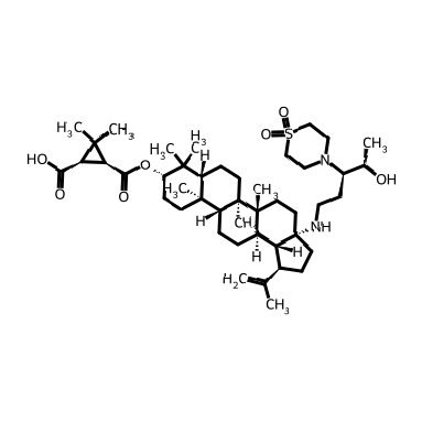 C=C(C)[C@@H]1CC[C@]2(NCC[C@H]([C@@H](C)O)N3CCS(=O)(=O)CC3)CC[C@]3(C)[C@H](CC[C@@H]4[C@@]5(C)CC[C@H](OC(=O)[C@H]6[C@@H](C(=O)O)C6(C)C)C(C)(C)[C@@H]5CC[C@]43C)[C@@H]12